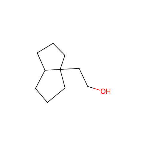 OCCC12CCCC1CCC2